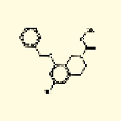 CC(C)(C)OC(=O)N1CCc2cc(C#N)cc(OCc3ccccc3)c2C1